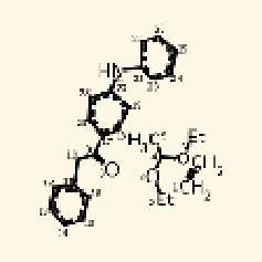 C=C.CCOC(C)OCC.O=C(Cc1ccccc1)c1ccc(Nc2ccccc2)cc1